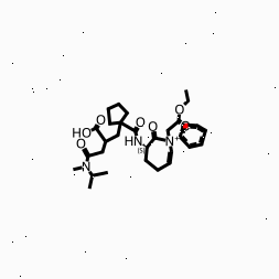 CCOC(=O)C[N+]1(c2ccccc2)C=CCC[C@H](NC(=O)C2(CC(CC(=O)N(C)C(C)C)C(=O)O)CCCC2)C1=O